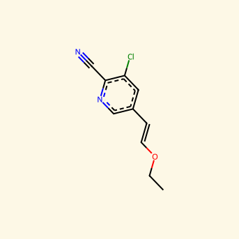 CCOC=Cc1cnc(C#N)c(Cl)c1